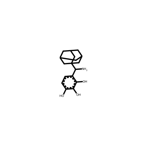 NC(c1ccc(O)c(O)c1O)C12CC3CC(CC(C3)C1)C2